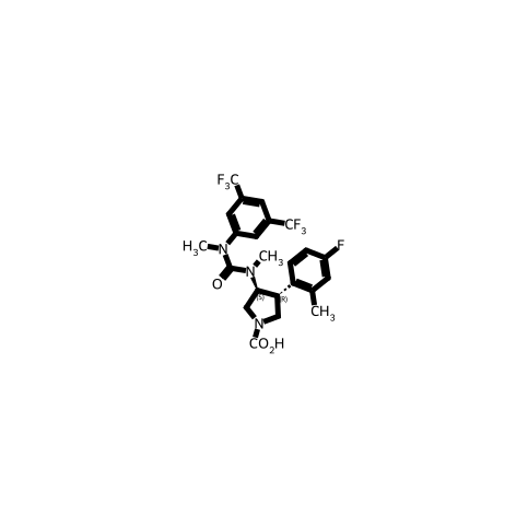 Cc1cc(F)ccc1[C@@H]1CN(C(=O)O)C[C@H]1N(C)C(=O)N(C)c1cc(C(F)(F)F)cc(C(F)(F)F)c1